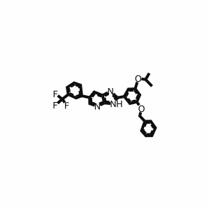 CC(C)Oc1cc(OCc2ccccc2)cc(-c2nc3cc(-c4cccc(C(F)(F)F)c4)cnc3[nH]2)c1